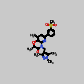 Cc1cc(-c2cccc(S(C)(=O)=O)c2)nc2c1O[C@H](C)C(=O)N2Cc1c(C)nn(C)c1C